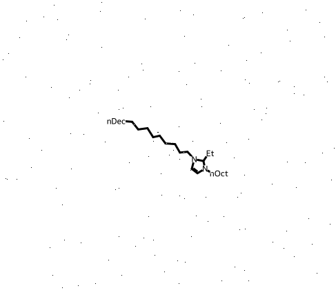 CCCCCCCCCCCCCCCCCCCN1C=CN(CCCCCCCC)C1CC